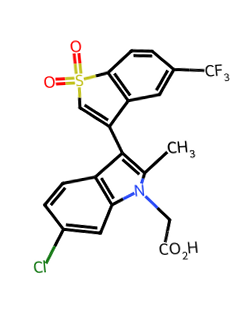 Cc1c(C2=CS(=O)(=O)c3ccc(C(F)(F)F)cc32)c2ccc(Cl)cc2n1CC(=O)O